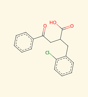 O=C(CC(Cc1ccccc1Cl)C(=O)O)c1ccccc1